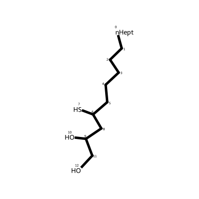 CCCCCCCCCCCCC(S)CC(O)CO